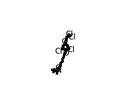 CC(=NOCCCCCCOc1c(Cl)cc(OCC=C(Cl)Cl)cc1Cl)C(C)(C)C